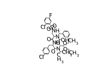 CCOC(CN(C(=O)C(Cc1ccc(Cl)cc1)NC(=O)C(CNS(=O)(=O)c1cc(F)ccc1Cl)N(Cc1ccccc1)C(=O)O)C(C)C)OCC